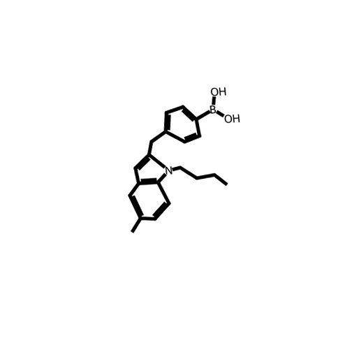 CCCCn1c(Cc2ccc(B(O)O)cc2)cc2cc(C)ccc21